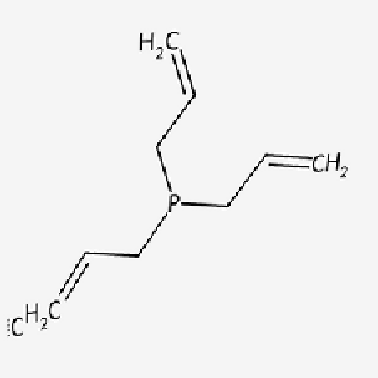 C=CCP(CC=C)CC=C.[C]